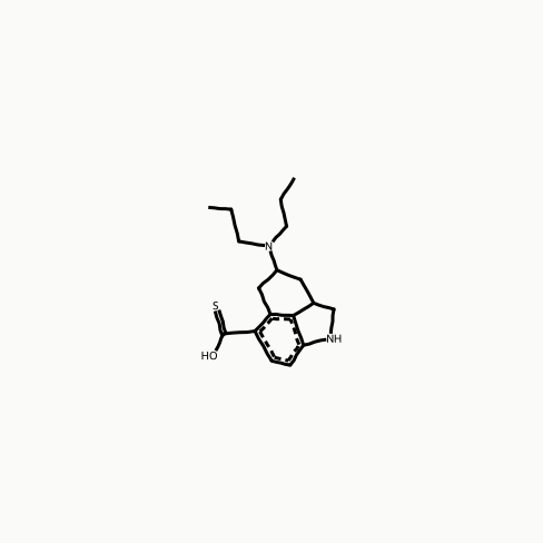 CCCN(CCC)C1Cc2c(C(O)=S)ccc3c2C(CN3)C1